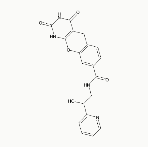 O=C(NCC(O)c1ccccn1)c1ccc2c(c1)Oc1[nH]c(=O)[nH]c(=O)c1C2